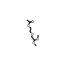 COC(COCCOC(C)=O)OC